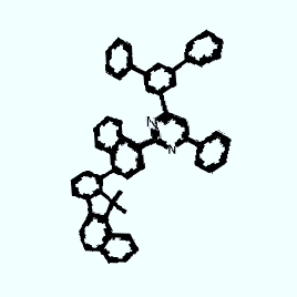 CC1(C)c2c(cccc2-c2ccc(-c3nc(-c4ccccc4)cc(-c4cc(-c5ccccc5)cc(-c5ccccc5)c4)n3)c3ccccc23)-c2ccc3ccccc3c21